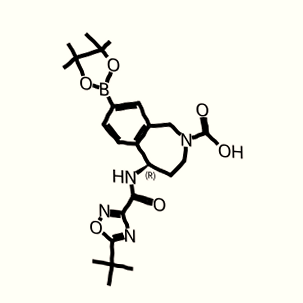 CC(C)(C)c1nc(C(=O)N[C@@H]2CCN(C(=O)O)Cc3cc(B4OC(C)(C)C(C)(C)O4)ccc32)no1